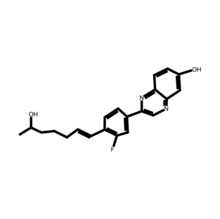 CC(O)CCCC=Cc1ccc(-c2cnc3cc(O)ccc3n2)cc1F